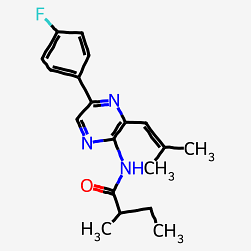 CCC(C)C(=O)Nc1ncc(-c2ccc(F)cc2)nc1C=C(C)C